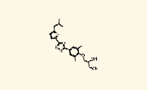 Cc1cc(-c2nnc(-c3ccc(CC(C)C)s3)o2)cc(C)c1OCC(O)CO